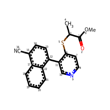 COC(=O)C(C)Sc1ccncc1-c1ccc(C#N)c2ccccc12